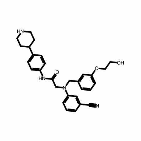 N#Cc1cccc(N(CC(=O)Nc2ccc(C3CCNCC3)cc2)Cc2cccc(OCCO)c2)c1